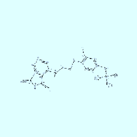 CC(C)(C)[Si](C)(C)Oc1ccc(CCCNc2cccc3c2C(=O)NC3=O)c(F)c1